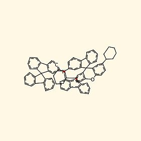 c1ccc2c(c1)-c1ccc(N(c3ccc4c(c3)C3(c5ccccc5-c5ccccc53)c3ccccc3-4)c3cccc4c3sc3ccccc34)cc1C21c2cc(C3CCCCC3)ccc2Oc2ccc(C3CCCCC3)cc21